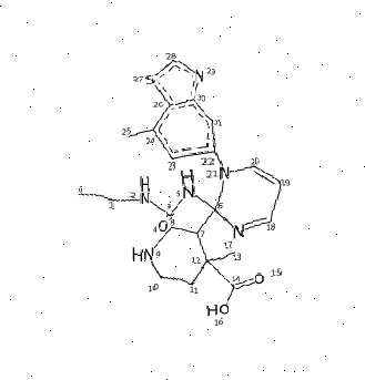 CCNC(=O)NC1(C2CNCCC2(C)C(=O)O)N=CC=CN1c1cc(C)c2scnc2c1